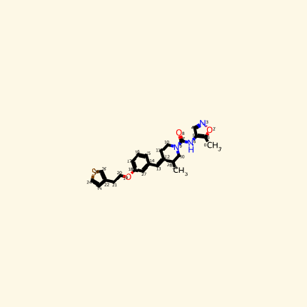 Cc1oncc1NC(=O)N1CCC(=Cc2cccc(OCCc3ccsc3)c2)C(C)C1